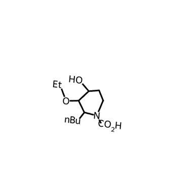 CCCCC1C(OCC)C(O)CCN1C(=O)O